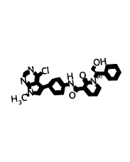 Cn1cc(-c2ccc(NC(=O)c3cccn([C@@H](CO)c4ccccc4)c3=O)cc2)c2c(Cl)ncnc21